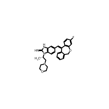 C[C@@H](CN1CCOCC1)n1c(=N)[nH]c2cc(/C=C3\c4ccccc4COc4cc(F)ccc43)ccc21